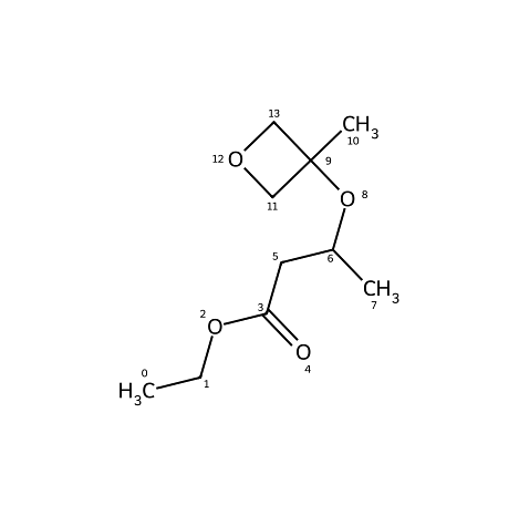 CCOC(=O)CC(C)OC1(C)COC1